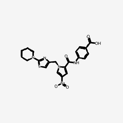 O=C(O)c1ccc(NC(=O)c2cc([N+](=O)[O-])cn2Cc2csc(N3CCCCC3)n2)cc1